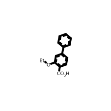 CCOc1cc(-c2ccccc2)ccc1C(=O)O